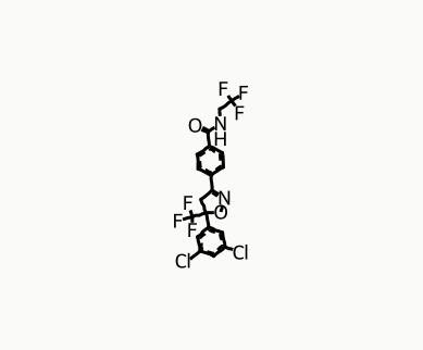 O=C(NCC(F)(F)F)c1ccc(C2=NOC(c3cc(Cl)cc(Cl)c3)(C(F)(F)F)C2)cc1